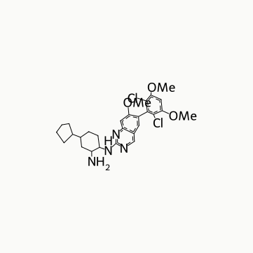 COc1cc2nc(NC3CCC(C4CCCC4)CC3N)ncc2cc1-c1c(Cl)c(OC)cc(OC)c1Cl